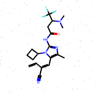 C=C/C(C#N)=C\c1c(C)nc(NC(=O)CC(N(C)C)C(F)(F)F)n1C1CCC1